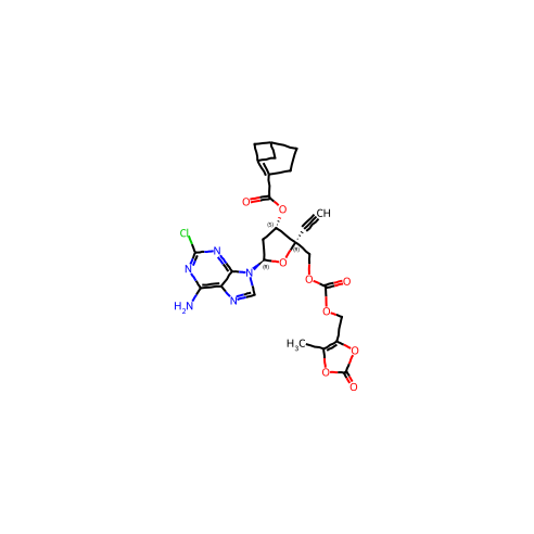 C#C[C@]1(COC(=O)OCc2oc(=O)oc2C)O[C@@H](n2cnc3c(N)nc(Cl)nc32)C[C@@H]1OC(=O)C1=C2CC(CC1)C2